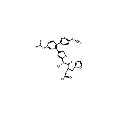 COc1ccc(-c2ccc(OC(F)F)cc2-c2csc(N(C)C(=O)C(CC(=O)O)Cc3ccco3)n2)cn1